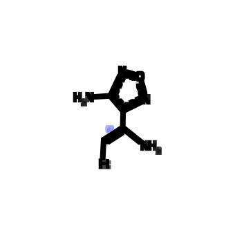 CC/C=C(\N)c1nonc1N